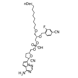 CCCCCCCCCCCCCCCCCCOC[C@H](COP(=O)(O)OC[C@@H]1CC[C@](C#N)(c2ccc3c(N)ncnn23)O1)OCc1ccc(C#N)cc1F